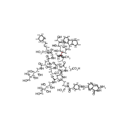 C=C(CC[C@H](NC(=O)[C@H](CCC(=O)O)NC(=O)[C@H](CCC(=O)NC[C@H](O)[C@@H](O)[C@H](O)[C@H](O)CO)NC(=O)CC[C@H](NC(=O)c1ccc(NCc2cnc3nc(N)[nH]c(=O)c3n2)cc1)C(=O)O)C(=O)N[C@@H](CCC(=O)O)C(=O)N[C@@H](CCC(=O)NC[C@H](O)[C@@H](O)[C@H](O)[C@H](O)CO)C(=O)N[C@@H](CNC(=O)CCSCC1c2ccccc2-c2ccccc21)C(=O)N[C@@H](CSSc1ccccn1)C(=O)O)NC[C@H](O)[C@@H](O)[C@H](O)[C@H](O)CO